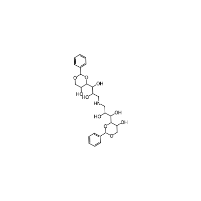 OC(CNCC(O)C(O)C1OC(c2ccccc2)OCC1O)C(O)C1OC(c2ccccc2)OCC1O